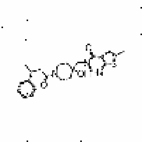 Cc1cc2c(=O)n(CC3(O)CCN(C(=O)CC(C)c4ccccc4)CC3)cnc2s1